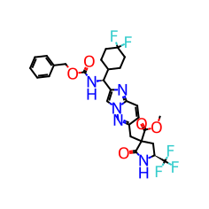 COC(=O)C1(Cc2ccc3nc([C@@H](NC(=O)OCc4ccccc4)C4CCC(F)(F)CC4)cn3n2)C[C@@H](C(F)(F)F)NC1=O